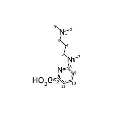 CN(C)CCCN(C)c1cccc(C(=O)O)n1